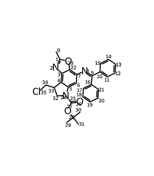 Cc1nc2c3c(cc(N=C(c4ccccc4)c4ccccc4)c2o1)N(C(=O)OC(C)(C)C)CC3CCl